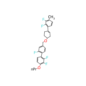 CCCOc1ccc(-c2ccc(COC3CC=C(c4ccc(C)c(F)c4F)CC3)cc2F)c(F)c1F